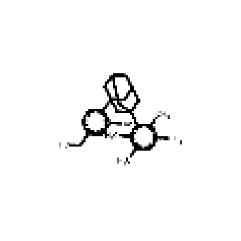 COc1cc(CO)ccc1C12CC3CC(C1)CC(c1c(C)c(C)cc(C)c1C)(C3)C2